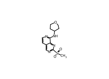 CS(=O)(=O)c1ncc2ccnc(NC3CCOCC3)c2n1